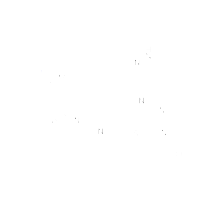 CCC/C=C/C(=O)CCC(=O)N1CCN(Cc2cc3nc(-c4cccc5[nH]ncc45)nc(N4CCOCC4)c3s2)CC1